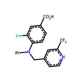 CC(C)N(Cc1ccnc(C(F)(F)F)c1)c1ccc(C(=O)O)cc1F